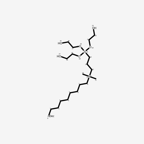 CCCCCCCCCCCCCCCCCC[N+](C)(C)CCC[Si](OCCO)(OCCO)OCCO